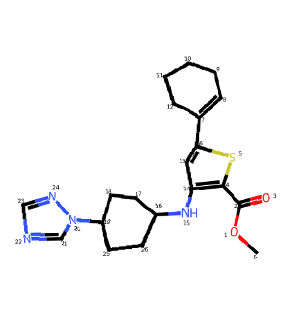 COC(=O)c1sc(C2=CCCCC2)cc1NC1CCC(n2cncn2)CC1